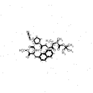 COC(=O)[C@H](Cc1ccc2ccccc2c1)NC(=O)[C@@H]1[C@H](N=[N+]=[N-])CCN1C(=O)CNC(=O)[C@H](C)N(C)C(=O)OC(C)(C)C